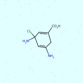 NC1=CC(N)(Cl)C=C(C(=O)O)C1